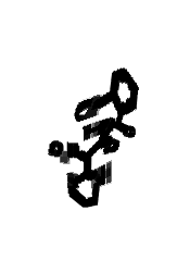 O=C(NC(=O)c1ccccc1Cl)/C(=C1\NCCCS1)[N+](=O)[O-]